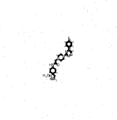 CN(C)C1(CO)CCC(NC(=O)CN2CCN(c3nncc(-c4ccc(F)cc4)n3)CC2)CC1